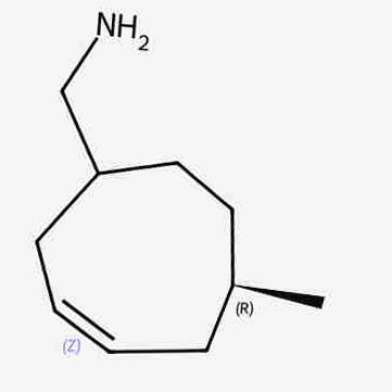 C[C@H]1C/C=C\CC(CN)CC1